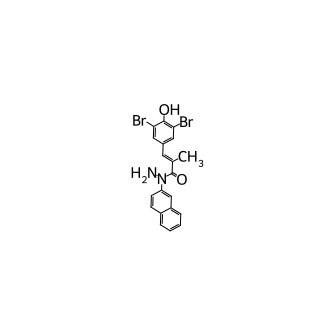 CC(=Cc1cc(Br)c(O)c(Br)c1)C(=O)N(N)c1ccc2ccccc2c1